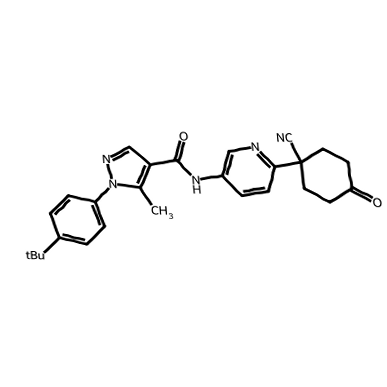 Cc1c(C(=O)Nc2ccc(C3(C#N)CCC(=O)CC3)nc2)cnn1-c1ccc(C(C)(C)C)cc1